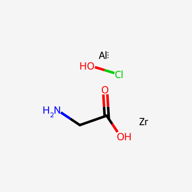 NCC(=O)O.OCl.[Al].[Zr]